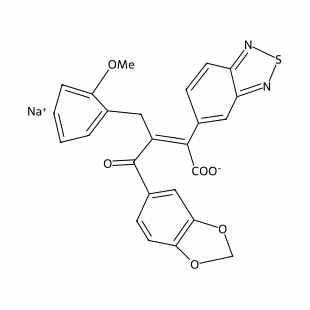 COc1ccccc1CC(C(=O)c1ccc2c(c1)OCO2)=C(C(=O)[O-])c1ccc2nsnc2c1.[Na+]